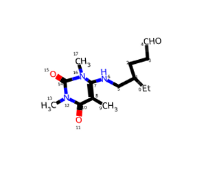 CCC(CCC=O)CNc1c(C)c(=O)n(C)c(=O)n1C